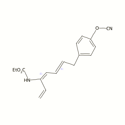 C=C/C(=C\C=C\Cc1ccc(OC#N)cc1)NC(=O)OCC